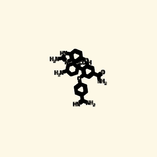 N=C(N)c1ccc(Oc2cc(C(N)=O)cc(Oc3ccc4[nH]c(N)nc4c3)c2C2(C(=O)O)CCC(N)CC2)cc1